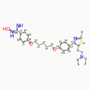 CCN(CC)CCc1sc(C)nc1-c1ccc(OCCCCCOc2ccc(C(=N)NO)cc2)cc1